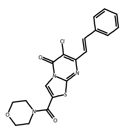 O=C(c1cn2c(=O)c(Cl)c(/C=C/c3ccccc3)nc2s1)N1CCOCC1